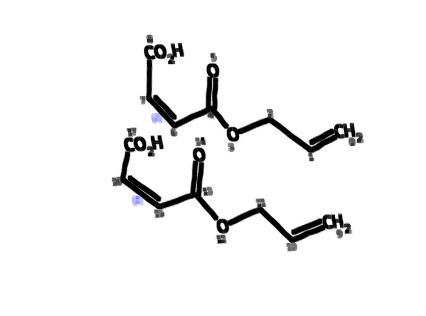 C=CCOC(=O)/C=C\C(=O)O.C=CCOC(=O)/C=C\C(=O)O